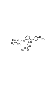 CC(C)(C)OC(=O)NCc1nn(-c2ccc(OC(F)(F)F)cc2)c2nccc(OCCO[Si](C)(C)C(C)(C)C)c12